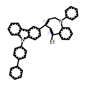 CC/C1=C\C(c2ccc3c(c2)c2ccccc2n3-c2ccc(-c3ccccc3)cc2)=C/CN(c2ccccc2)c2ccccc21